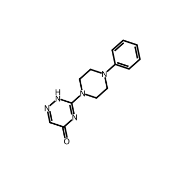 O=c1cn[nH]c(N2CCN(c3ccccc3)CC2)n1